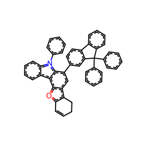 C1=Cc2oc3c(cc(-c4ccc5c(c4)C(c4ccccc4)(c4ccccc4)c4ccccc4-5)c4c3c3ccccc3n4-c3ccccc3)c2CC1